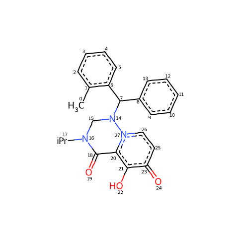 Cc1ccccc1C(c1ccccc1)N1CN(C(C)C)C(=O)c2c(O)c(=O)ccn21